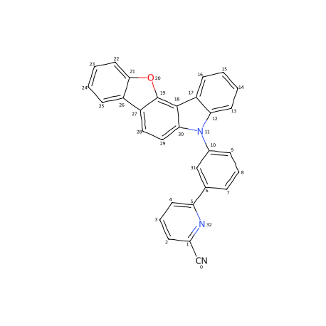 N#Cc1cccc(-c2cccc(-n3c4ccccc4c4c5oc6ccccc6c5ccc43)c2)n1